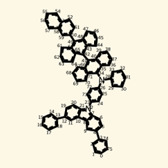 c1ccc(-c2ccc3c(c2)c2cc(-c4ccccc4)ccc2n3-c2ccc(N(c3ccccc3)c3c4ccccc4c(-c4c5ccccc5c(-c5ccc6ccccc6c5)c5ccccc45)c4ccccc34)cc2)cc1